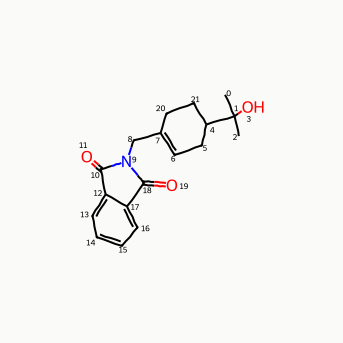 CC(C)(O)C1CC=C(CN2C(=O)c3ccccc3C2=O)CC1